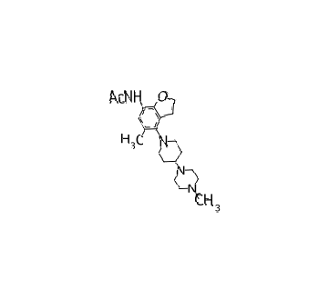 CC(=O)Nc1cc(C)c(N2CCC(N3CCN(C)CC3)CC2)c2c1OCC2